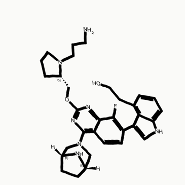 NCCCN1CCC[C@H]1COc1nc(N2C[C@H]3CC[C@@H](C2)N3)c2ccc(-c3c[nH]c4cccc(CCO)c34)c(F)c2n1